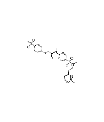 Cc1cccc(CCN(C)S(=O)(=O)c2ccc(N(C)C(=O)C=Cc3ccc(S(C)(=O)=O)cc3)cc2)n1